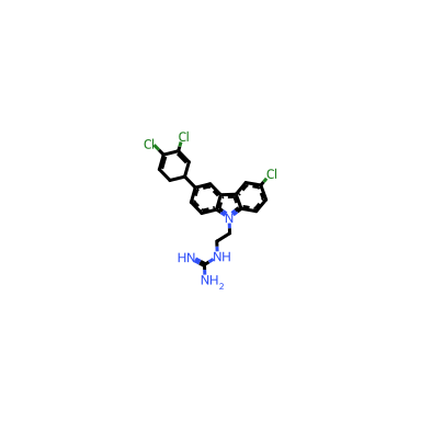 N=C(N)NCCn1c2ccc(Cl)cc2c2cc(C3C=C(Cl)C(Cl)=CC3)ccc21